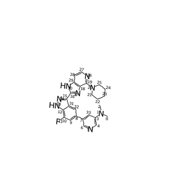 CN(C)c1cncc(-c2cc(F)c3[nH]nc(-c4nc5c(N6CCCCC6)nccc5[nH]4)c3c2)c1